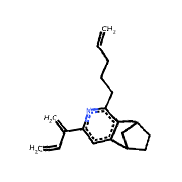 C=CCCCc1nc(C(=C)C=C)cc2c1C1CCC2C1